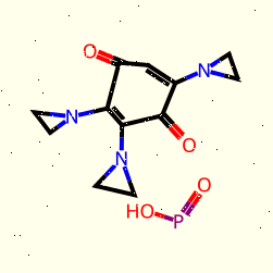 O=C1C=C(N2CC2)C(=O)C(N2CC2)=C1N1CC1.O=PO